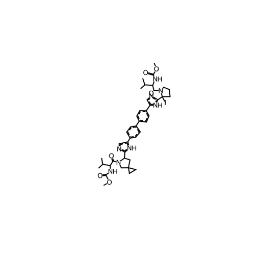 COC(=O)NC(C(=O)N1CC2(CC2)CC1c1ncc(-c2ccc(-c3ccc(-c4cnc(C5(I)CCCN5C(=O)C(NC(=O)OC)C(C)C)[nH]4)cc3)cc2)[nH]1)C(C)C